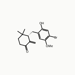 C=C1C(=O)CCC(C)(C)[C@@H]1Cc1cc(OC)c(Br)cc1O